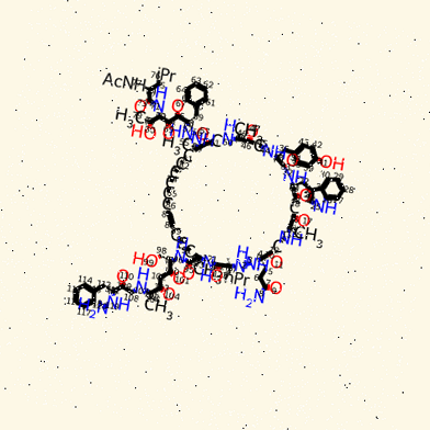 CCC[C@@H]1NN[C@@H](CCC(N)=O)C(=O)CN[C@@H](C)C(=O)CC(=O)[C@H](Cc2c[nH]c3ccccc23)NC(=O)[C@H](Cc2ccc(O)cc2)NCC(=O)[C@H](C)NCC(=O)[C@](C)(NN[C@@H](Cc2ccccc2)C(=O)C(=O)[C@@H](NC(=O)[C@H](CC(C)C)NC(C)=O)[C@@H](C)O)CCCCCCC=CCCC[C@@](C)(C(=O)N[C@@H](CO)C(=O)CC(=O)[C@H](C)NCC(=O)[C@H](Cc2ccccc2)NN)NC1=O